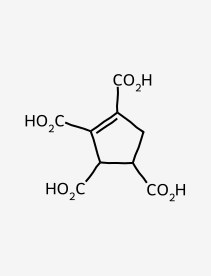 O=C(O)C1=C(C(=O)O)C(C(=O)O)C(C(=O)O)C1